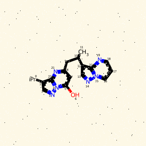 CC(C)c1cnn2c(O)cc(CC(C)c3cnn4cccnc34)nc12